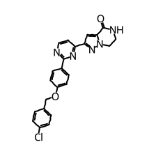 O=C1NCCn2nc(-c3ccnc(-c4ccc(OCc5ccc(Cl)cc5)cc4)n3)cc21